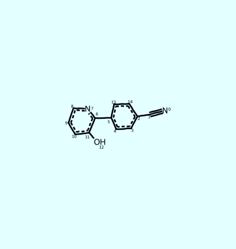 N#Cc1ccc(-c2ncccc2O)cc1